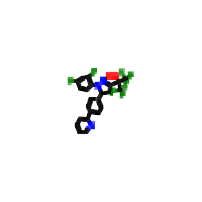 OC(C1=NN(c2ccc(F)cc2F)C(c2ccc(-c3ccccn3)cc2)C1)(C(F)(F)F)C(F)(F)F